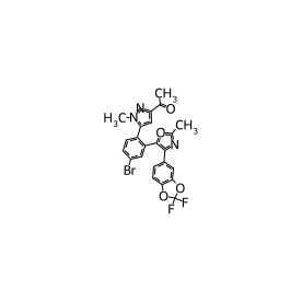 CC(=O)c1cc(-c2ccc(Br)cc2-c2oc(C)nc2-c2ccc3c(c2)OC(F)(F)O3)n(C)n1